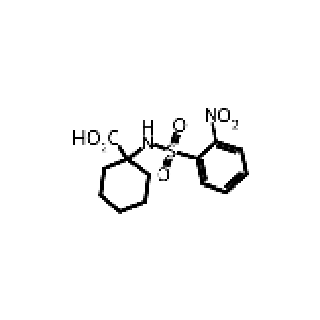 O=C(O)C1(NS(=O)(=O)c2ccccc2[N+](=O)[O-])CCCCC1